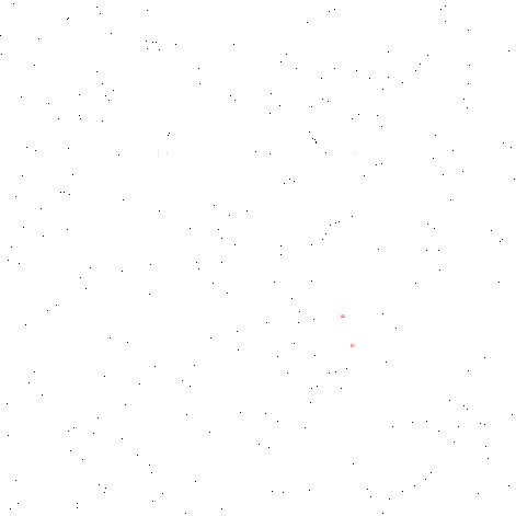 CC(C)(C)c1cc2c(cc1-c1ccccc1)C(C1=CC=CC1)=c1c-2cc(C(C)(C)C)c(-c2ccccc2)c1=C(Cc1ccccc1)Cc1ccccc1